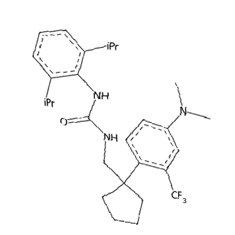 CC(C)c1cccc(C(C)C)c1NC(=O)NCC1(c2ccc(N(C)C)cc2C(F)(F)F)CCCC1